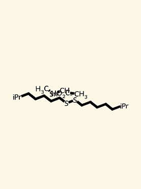 CC(=O)O.CC(C)CCCCCSSCCCCCC(C)C.[CH3][Sn][CH3]